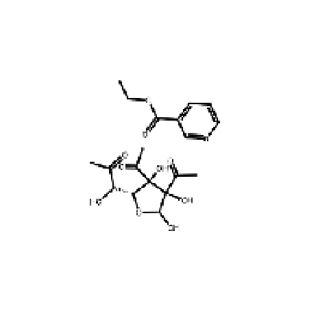 CC(=O)C(O)[C@H]1OC(O)[C@@](O)(C(C)=O)[C@@]1(O)C(C)=O.CCOC(=O)c1cccnc1